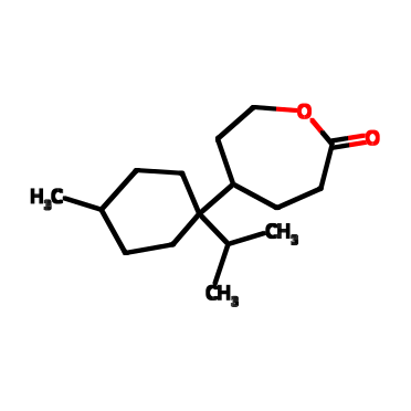 CC1CCC(C(C)C)(C2CCOC(=O)CC2)CC1